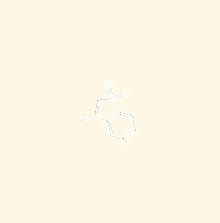 O=S1(=O)C=C(I)c2cncnc21